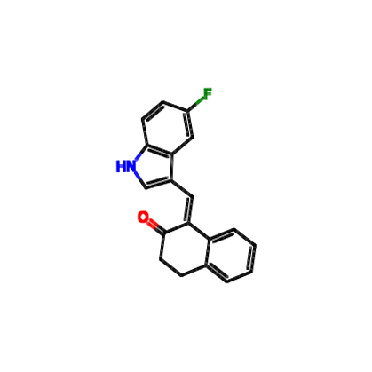 O=C1CCc2ccccc2C1=Cc1c[nH]c2ccc(F)cc12